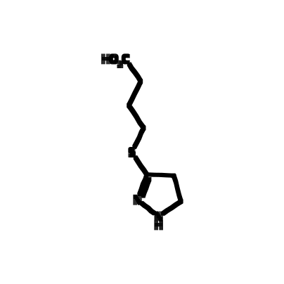 O=C(O)CCCSC1=NNCC1